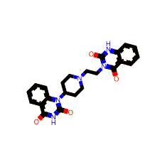 O=c1[nH]c(=O)n(C2CCN(CCn3c(=O)[nH]c4ccccc4c3=O)CC2)c2ccccc12